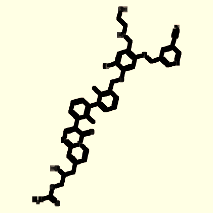 Cc1c(COc2cc(OCc3cncc(C#N)c3)c(CNCCO)cc2Cl)cccc1-c1cccc(-c2cnc3cc(CC(O)COC(N)=O)ccn3c2=O)c1C